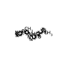 Cc1cc(Nc2ncnc3ccc(N4CC/C(=C\C5CCCN5C)C4=O)nc23)ccc1Oc1ccn2ncnc2c1